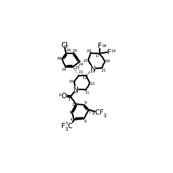 O=C(c1cc(C(F)(F)F)cc(C(F)(F)F)c1)N1CC[C@@H](N2CCC(F)(F)CC2)[C@@H](c2ccc(Cl)cc2)C1